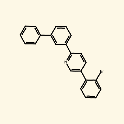 Brc1ccccc1-c1ccc(-c2cccc(-c3ccccc3)c2)nc1